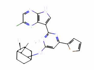 O=C(O)[C@H]1C2CCC(CC2)[C@@H]1Nc1cc(-c2cccs2)nc(-c2c[nH]c3ncc(Cl)nc23)n1